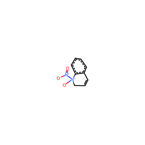 O=[N+]([O-])[N+]1([O-])CC=Cc2ccccc21